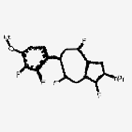 CCCC1CC2C(F)CC(c3ccc(OCC)c(F)c3F)C(F)CC2C1F